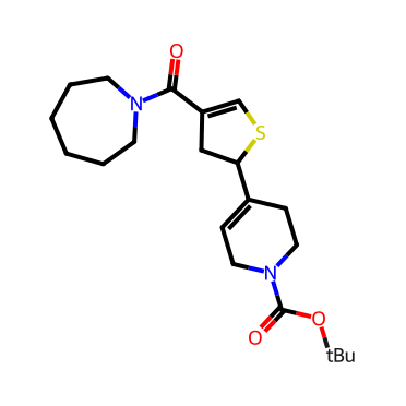 CC(C)(C)OC(=O)N1CC=C(C2CC(C(=O)N3CCCCCC3)=CS2)CC1